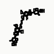 COc1cc2sc(C(=O)CC(C)C(=O)O)cc2c(F)c1OCCCCOc1c(OC)cc2sc(C(=O)CC(C)C(=O)O)cc2c1Cl